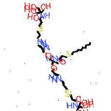 CCCCCCCCCCSCCC(=O)NC(C)(COCc1cn(CCCSCCC(=O)NC(CO)(CO)CO)nn1)COCc1cn(CCCSCCC(O)NC(CO)(CO)CO)nn1